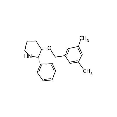 Cc1cc(C)cc(CO[C@H]2CCCN[C@H]2c2ccccc2)c1